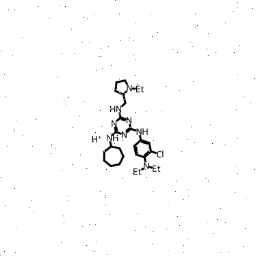 CCN(CC)c1ccc(Nc2nc(NCC3CCCN3CC)nc(NC3CCCCCC3)n2)cc1Cl.[H+]